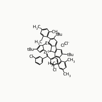 CCC1C=C(C(C)(C)C)C=[C]1[Zr+2](=[C](c1cccc(Cl)c1)c1cccc(Cl)c1)[CH]1c2cc(-c3c(C)cc(C)cc3C)c(C(C)(C)C)cc2-c2cc(C(C)(C)C)c(-c3c(C)cc(C)cc3C)cc21.[Cl-].[Cl-]